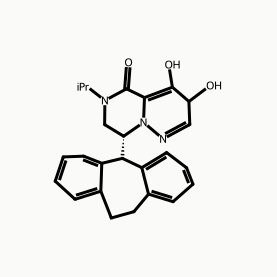 CC(C)N1C[C@@H](C2c3ccccc3CCc3ccccc32)N2N=CC(O)C(O)=C2C1=O